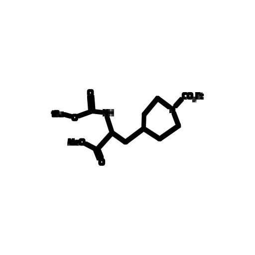 CCOC(=O)N1CCC(CC(NC(=O)OC(C)(C)C)C(=O)OC)CC1